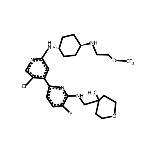 CC1(CNc2nc(-c3cc(N[C@H]4CC[C@H](NCCOC(F)(F)F)CC4)ncc3Cl)ccc2F)CCOCC1